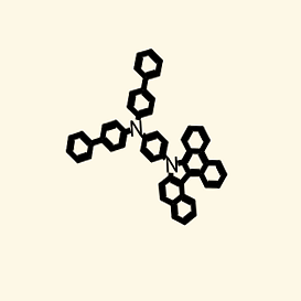 c1ccc(-c2ccc(N(c3ccc(-c4ccccc4)cc3)c3ccc(-n4c5ccc6ccccc6c5c5c6ccccc6c6ccccc6c54)cc3)cc2)cc1